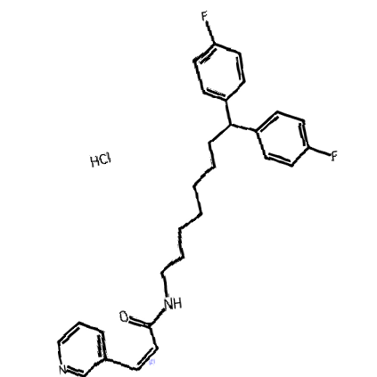 Cl.O=C(/C=C\c1cccnc1)NCCCCCCCC(c1ccc(F)cc1)c1ccc(F)cc1